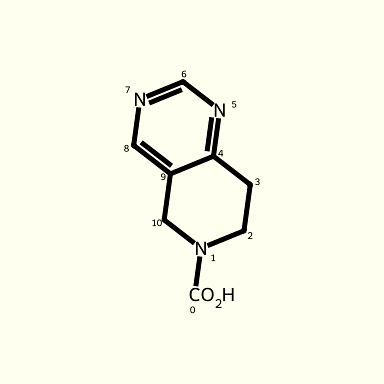 O=C(O)N1CCc2ncncc2C1